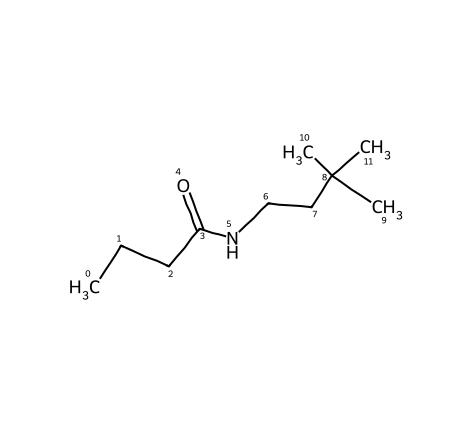 CCCC(=O)NCCC(C)(C)C